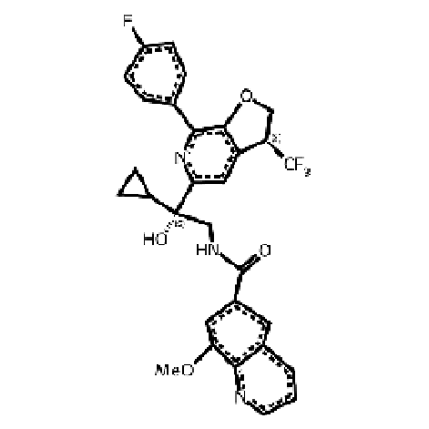 COc1cc(C(=O)NC[C@](O)(c2cc3c(c(-c4ccc(F)cc4)n2)OC[C@H]3C(F)(F)F)C2CC2)cc2cccnc12